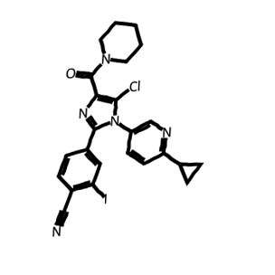 N#Cc1ccc(-c2nc(C(=O)N3CCCCC3)c(Cl)n2-c2ccc(C3CC3)nc2)cc1I